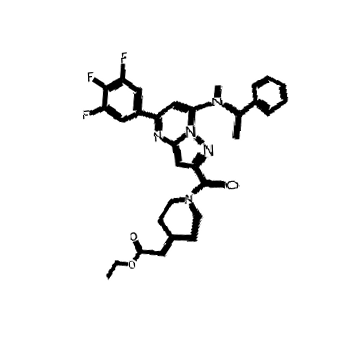 CCOC(=O)CC1CCN(C(=O)c2cc3nc(-c4cc(F)c(F)c(F)c4)cc(N(C)C(C)c4ccccc4)n3n2)CC1